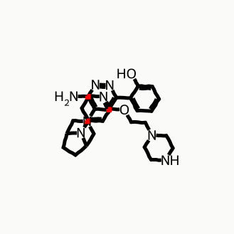 Nc1nnc(-c2ccccc2O)cc1N1CC2CCC(C1)N2C1=CC(OCCN2CCNCC2)=NCC1